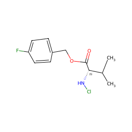 CC(C)[C@H](NCl)C(=O)OCc1ccc(F)cc1